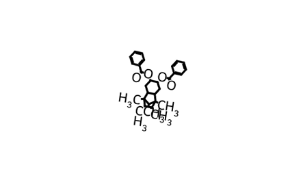 CC1C(C)C2(C)C3CC(OC(=O)c4ccccc4)C(OC(=O)c4ccccc4)CC3C1(C)C2C